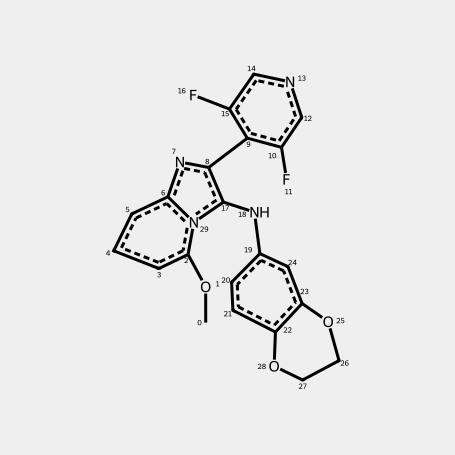 COc1cccc2nc(-c3c(F)cncc3F)c(Nc3ccc4c(c3)OCCO4)n12